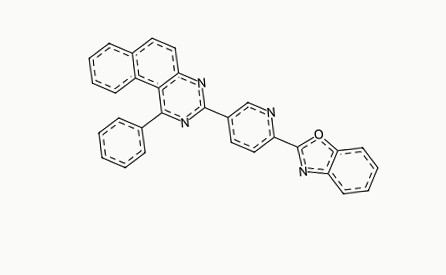 c1ccc(-c2nc(-c3ccc(-c4nc5ccccc5o4)nc3)nc3ccc4ccccc4c23)cc1